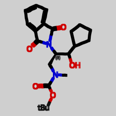 CN(C[C@H](C(O)C1CCCC1)N1C(=O)c2ccccc2C1=O)C(=O)OC(C)(C)C